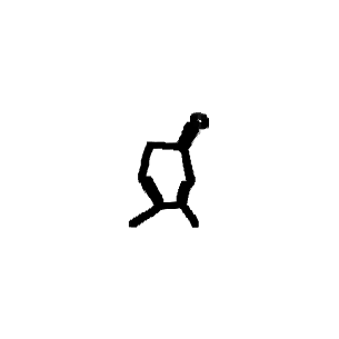 CC1=CCC(=O)C=C1C